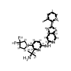 Cc1cccnc1-c1nc2cc(Nc3ccc(N4CCC(F)(F)C4)c(C(C)(C)N)n3)ncc2s1